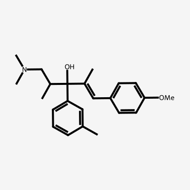 COc1ccc(/C=C(\C)C(O)(c2cccc(C)c2)C(C)CN(C)C)cc1